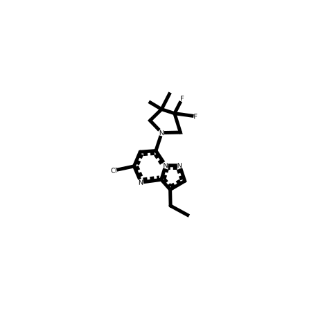 CCc1cnn2c(N3CC(C)(C)C(F)(F)C3)cc(Cl)nc12